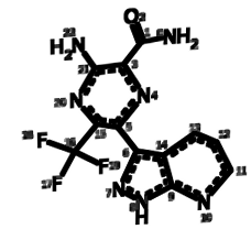 NC(=O)c1nc(-c2n[nH]c3ncccc23)c(C(F)(F)F)nc1N